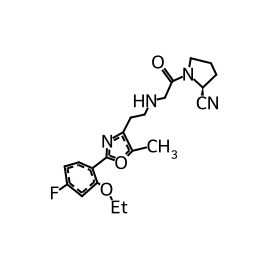 CCOc1cc(F)ccc1-c1nc(CCNCC(=O)N2CCC[C@H]2C#N)c(C)o1